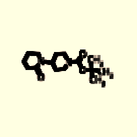 CC(C)(C)OC(=O)N1CCC(N2CCCCC2=O)CC1